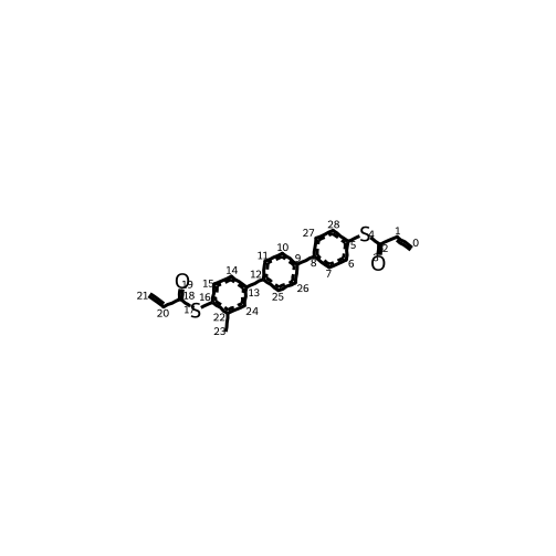 C=CC(=O)Sc1ccc(-c2ccc(-c3ccc(SC(=O)C=C)c(C)c3)cc2)cc1